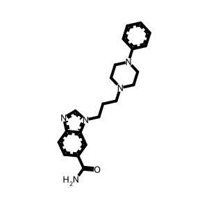 NC(=O)c1ccc2ncn(CCCN3CCN(c4ccccc4)CC3)c2c1